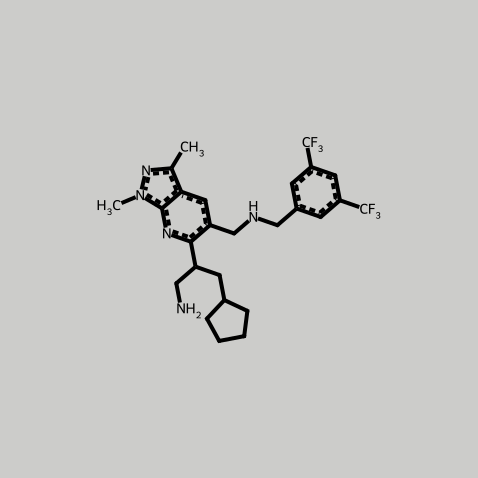 Cc1nn(C)c2nc(C(CN)CC3CCCC3)c(CNCc3cc(C(F)(F)F)cc(C(F)(F)F)c3)cc12